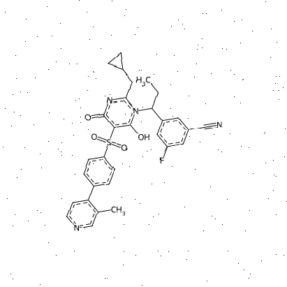 CCC(c1cc(F)cc(C#N)c1)n1c(CC2CC2)nc(=O)c(S(=O)(=O)c2ccc(-c3ccncc3C)cc2)c1O